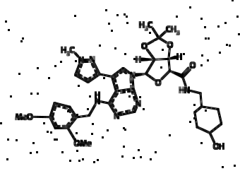 COc1ccc(CNc2ncnc3c2c(-c2ccn(C)n2)cn3[C@@H]2O[C@H](C(=O)NCC3CCC(O)CC3)[C@H]3OC(C)(C)O[C@H]32)c(OC)c1